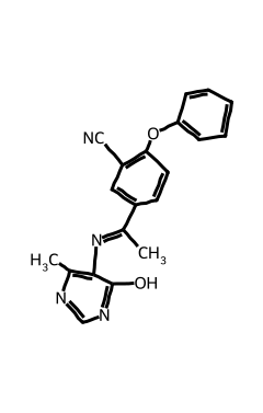 C/C(=N\c1c(C)ncnc1O)c1ccc(Oc2ccccc2)c(C#N)c1